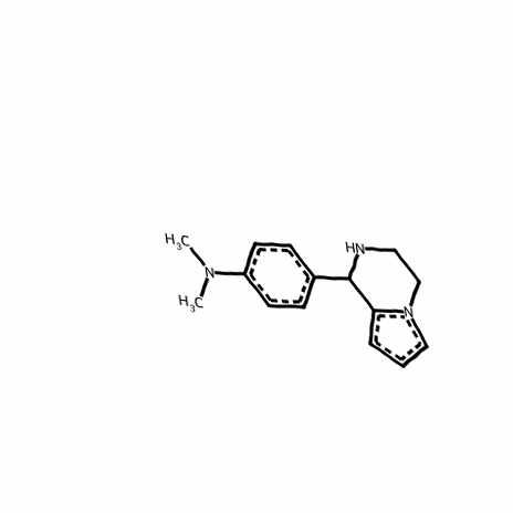 CN(C)c1ccc(C2NCCn3cccc32)cc1